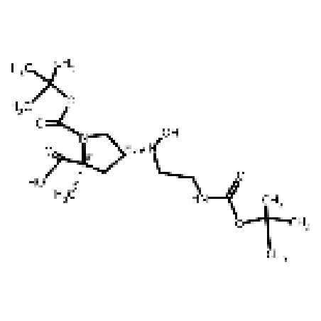 CC(C)(C)OC(=O)NCCN(O)[C@H]1CN(C(=O)OC(C)(C)C)[C@](C)(C(=O)O)C1